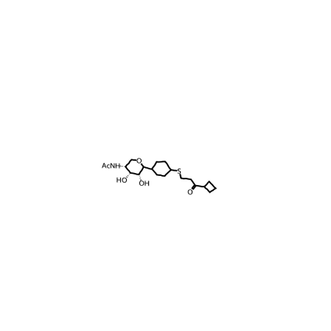 CC(=O)N[C@@H]1COC(C2CCC(SCCC(=O)C3CCC3)CC2)[C@H](O)[C@@H]1O